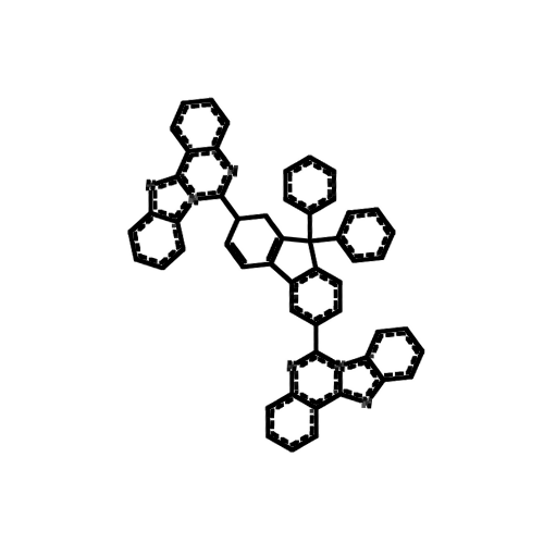 C1=CC(c2nc3ccccc3c3nc4ccccc4n23)CC2=C1c1cc(-c3nc4ccccc4c4nc5ccccc5n34)ccc1C2(c1ccccc1)c1ccccc1